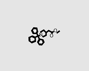 CCOC(=O)CC1CCN(C(c2ccccc2)(c2ccccc2)c2ccccc2)CC1